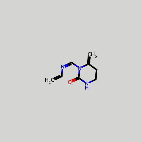 C=C/N=C\N1C(=C)CCNC1=O